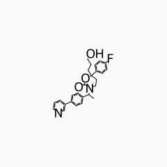 CC(c1ccc(-c2cccnc2)cc1)N1CCC(CCCO)(c2ccc(F)cc2)OC1=O